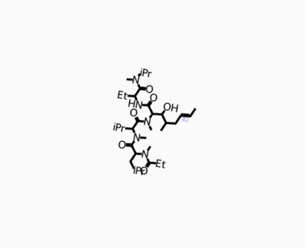 C/C=C/CC(C)C(O)C(C(=O)NC(CC)C(=O)N(C)C(C)C)N(C)C(=O)C(C(C)C)N(C)C(=O)C(CC(C)C)N(C)C(=O)CC